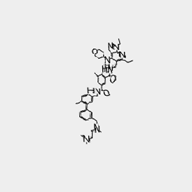 CCc1nc2c(cnn2CC)c(NC2CCOCC2)c1CNC(=O)c1cc(C)cc(C(=O)NCc2ccc(C)c(-c3cccc(CN(C)CCN(C)C)c3)c2)c1